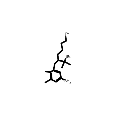 Bc1cc(C)c(C)c(CC(CCCCC(C)C)C(C)(C)C(C)(C)C)c1